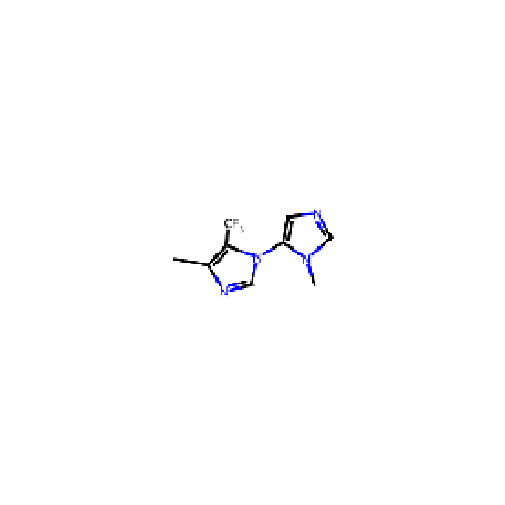 Cc1n[c]n(-c2cncn2C)c1C(F)(F)F